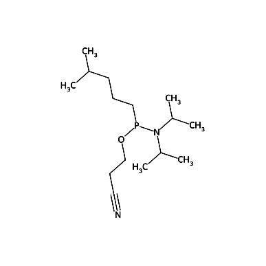 CC(C)CCCP(OCCC#N)N(C(C)C)C(C)C